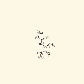 CCCCNC(=O)[C@H](C)NC(=O)OC(C)(C)C